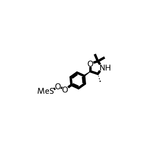 CSOOc1ccc([C@H]2OC(C)(C)N[C@@H]2C)cc1